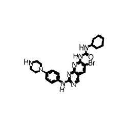 O=C(Nc1nc2nc(Nc3ccc(N4CCNCC4)cc3)ncc2cc1Br)NC1CCCCC1